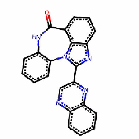 O=C1Nc2ccccc2-n2c(-c3cnc4ccccc4n3)nc3cccc1c32